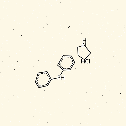 C1CCNC1.Cl.c1ccc(Pc2ccccc2)cc1